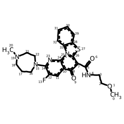 COCCNC(=O)c1c(=O)c2cc(F)c(N3CCCN(C)CC3)nc2n2c1sc1ccccc12